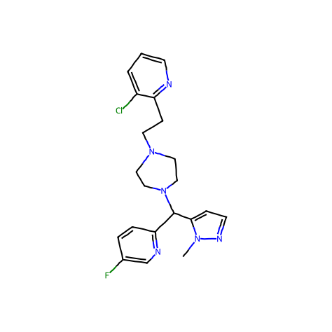 Cn1nccc1C(c1ccc(F)cn1)N1CCN(CCc2ncccc2Cl)CC1